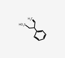 C=CC(CS(=O)(=O)O)c1ccccc1